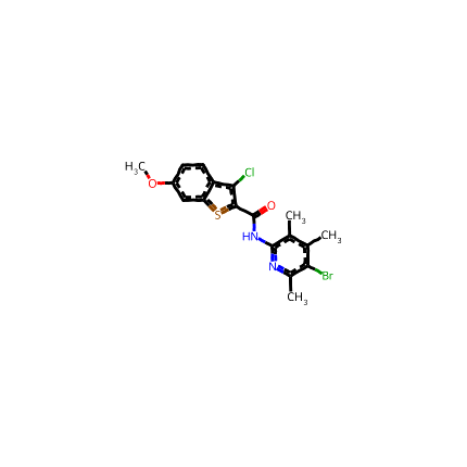 COc1ccc2c(Cl)c(C(=O)Nc3nc(C)c(Br)c(C)c3C)sc2c1